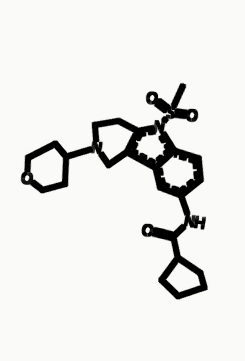 CS(=O)(=O)n1c2c(c3cc(NC(=O)C4CCCC4)ccc31)CN(C1CCOCC1)CC2